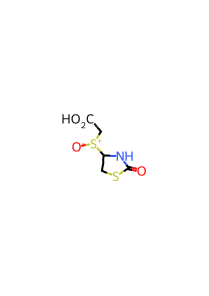 O=C(O)C[S+]([O-])C1CSC(=O)N1